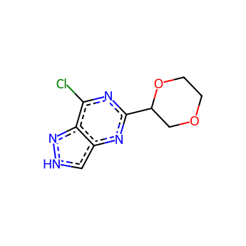 Clc1nc(C2COCCO2)nc2c[nH]nc12